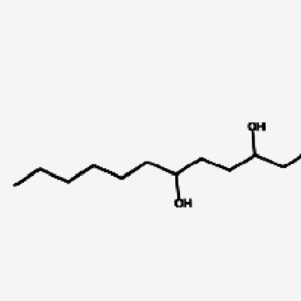 CCCCCCC(O)CCC(O)CC